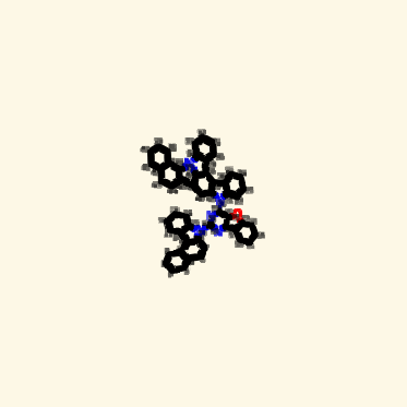 c1ccc2c(c1)ccc1c2c2ccccc2n1-c1nc(-n2c3ccccc3c3c4c5ccccc5n5c6c7ccccc7ccc6c(cc32)c45)c2oc3ccccc3c2n1